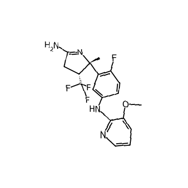 COc1cccnc1Nc1ccc(F)c([C@@]2(C)N=C(N)C[C@H]2C(F)(F)F)c1